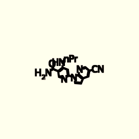 CCCNc1cc(-n2ccc3cc(C#N)cnc32)ncc1C(N)=O